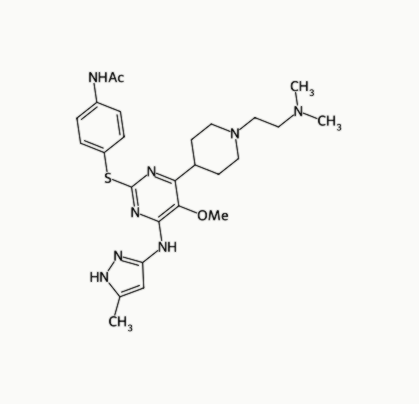 COc1c(Nc2cc(C)[nH]n2)nc(Sc2ccc(NC(C)=O)cc2)nc1C1CCN(CCN(C)C)CC1